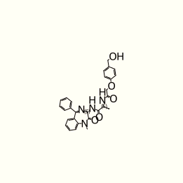 C[C@H](NC(=O)COc1ccc(CO)cc1)C(=O)N[C@H]1N=C(c2ccccc2)c2ccccc2N(C)C1=O